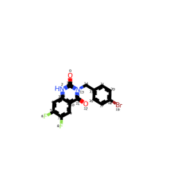 O=c1[nH]c2cc(F)c(F)cc2c(=O)n1Cc1ccc(Br)cc1